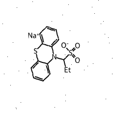 CCC(N1c2ccccc2Sc2ccccc21)S(=O)(=O)[O-].[Na+]